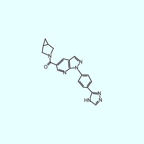 O=C(c1cnc2c(cnn2-c2ccc(-c3nnc[nH]3)cc2)c1)N1CC2CC2C1